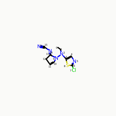 CCN(c1cnc(Cl)s1)N1C=CCC1=NC#N